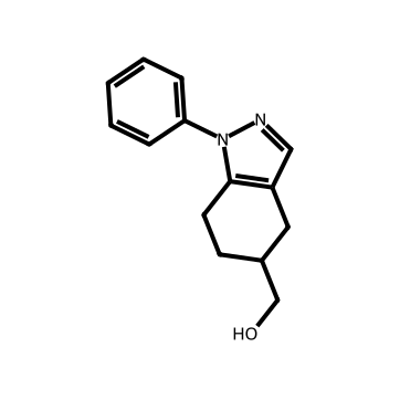 OCC1CCc2c(cnn2-c2ccccc2)C1